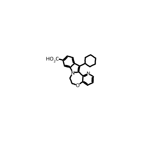 O=C(O)c1ccc2c(C3CCCCC3)c3n(c2c1)CCOc1cccnc1-3